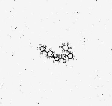 O=C(Nc1ccccc1C1CCCCC1)C1=CCC(N2CCC(C3=CCC=N3)CC2)=C1